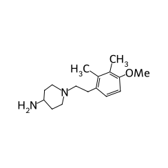 COc1ccc(CCN2CCC(N)CC2)c(C)c1C